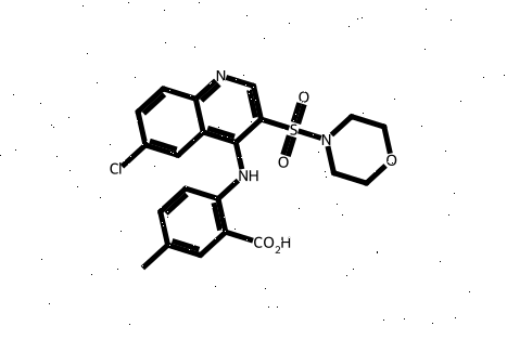 Cc1ccc(Nc2c(S(=O)(=O)N3CCOCC3)cnc3ccc(Cl)cc23)c(C(=O)O)c1